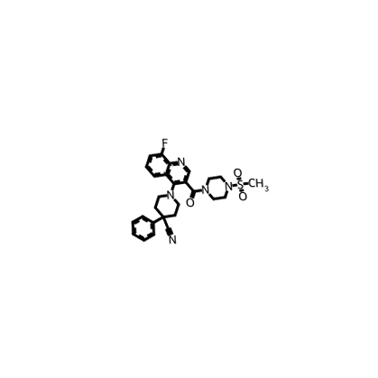 CS(=O)(=O)N1CCN(C(=O)c2cnc3c(F)cccc3c2N2CCC(C#N)(c3ccccc3)CC2)CC1